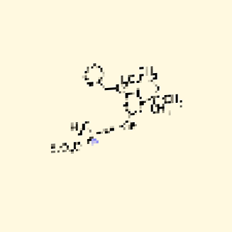 CCOC(=O)/C=C(\C)C#C[Se]c1cc(OCc2ccccc2)c2c(c1)C(C)(C)CCC2(C)C